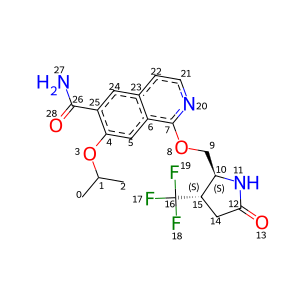 CC(C)Oc1cc2c(OC[C@H]3NC(=O)C[C@@H]3C(F)(F)F)nccc2cc1C(N)=O